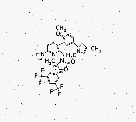 COc1ccc(-c2cc(C)cn2C)cc1-c1ccc(N2CCC2)nc1CN1C(=O)O[C@H](c2cc(C(F)(F)F)cc(C(F)(F)F)c2)[C@@H]1C